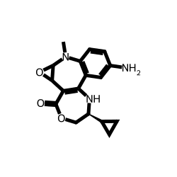 CN1c2ccc(N)cc2C2=C(C(=O)OC[C@H](C3CC3)N2)C2OC21